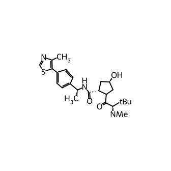 CN[C@@H](C(=O)C1C[C@H](O)C[C@H]1C(=O)N[C@@H](C)c1ccc(-c2scnc2C)cc1)C(C)(C)C